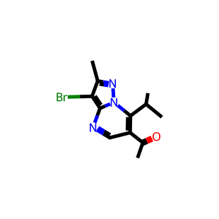 CC(=O)c1cnc2c(Br)c(C)nn2c1C(C)C